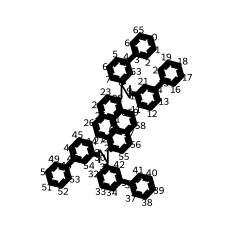 c1ccc(-c2cccc(N(c3cccc(-c4ccccc4)c3)c3ccc4ccc5c(N(c6cccc(-c7ccccc7)c6)c6cccc(-c7ccccc7)c6)ccc6ccc3c4c65)c2)cc1